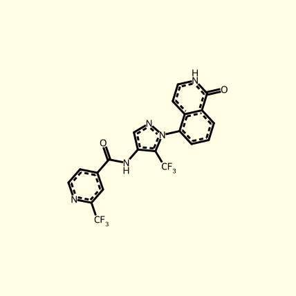 O=C(Nc1cnn(-c2cccc3c(=O)[nH]ccc23)c1C(F)(F)F)c1ccnc(C(F)(F)F)c1